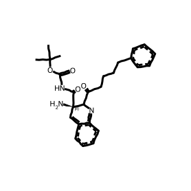 CC(C)(C)OC(=O)NC(=O)[C@@]1(N)C=c2ccccc2=NC1C(=O)CCCCc1ccccc1